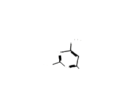 COc1cc(O)nc(SC)n1